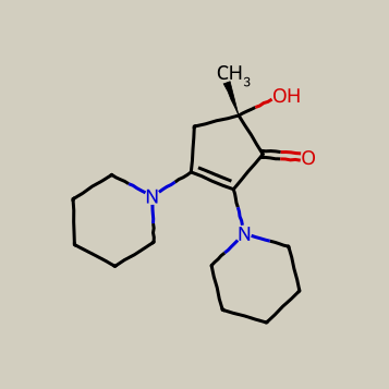 C[C@]1(O)CC(N2CCCCC2)=C(N2CCCCC2)C1=O